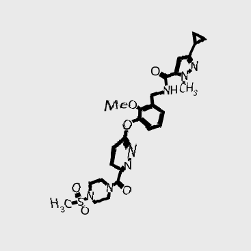 COc1c(CNC(=O)c2cc(C3CC3)nn2C)cccc1Oc1ccc(C(=O)N2CCN(S(C)(=O)=O)CC2)nn1